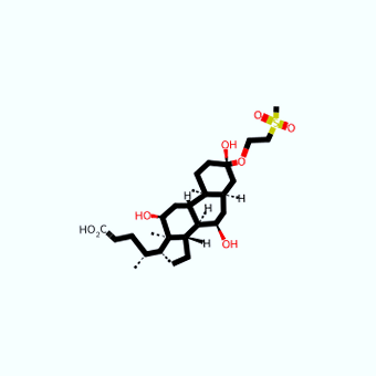 C[C@H](CCC(=O)O)[C@H]1CC[C@H]2[C@@H]3[C@H](O)C[C@@H]4C[C@@](O)(OCCS(C)(=O)=O)CC[C@]4(C)[C@H]3C[C@H](O)[C@]12C